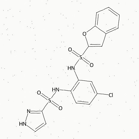 O=S(=O)(Nc1ccc(Cl)cc1NS(=O)(=O)c1cc2ccccc2o1)c1cc[nH]n1